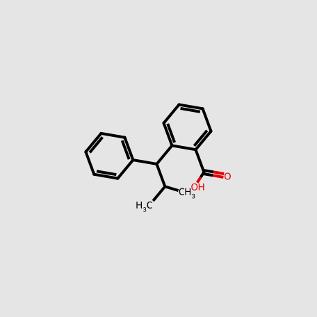 CC(C)C(c1ccccc1)c1ccccc1C(=O)O